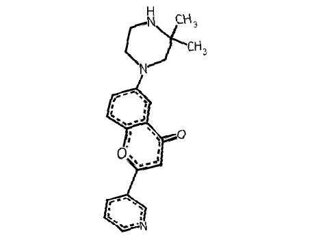 CC1(C)CN(c2ccc3oc(-c4cccnc4)cc(=O)c3c2)CCN1